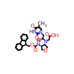 Cc1cn(CC(=O)N(CC(=O)O)[C@@H]2COC[C@H]2NC(=O)OCC2c3ccccc3-c3ccccc32)c(=O)[nH]c1=O